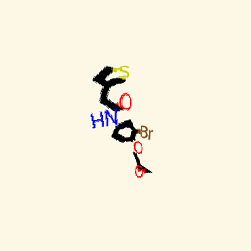 O=C(Cc1ccsc1)Nc1ccc(OCC2CO2)c(Br)c1